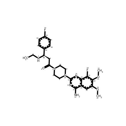 CCN[C@H](CC(=O)N1CCN(c2nc(N)c3cc(OC)c(OC)c(F)c3n2)CC1)c1ccc(F)cc1